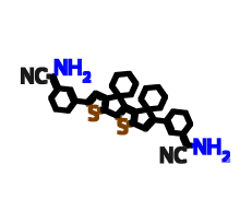 N#C/C(N)=C1/C=C(c2cc3c(s2)-c2sc4c(c2C32CCCCC2)C2(CCCCC2)C(C2=C/C(=C(/N)C#N)CCC2)=C4)CCC1